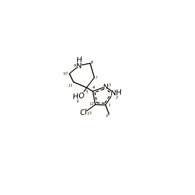 Cc1[nH]nc(C2(O)CCNCC2)c1Cl